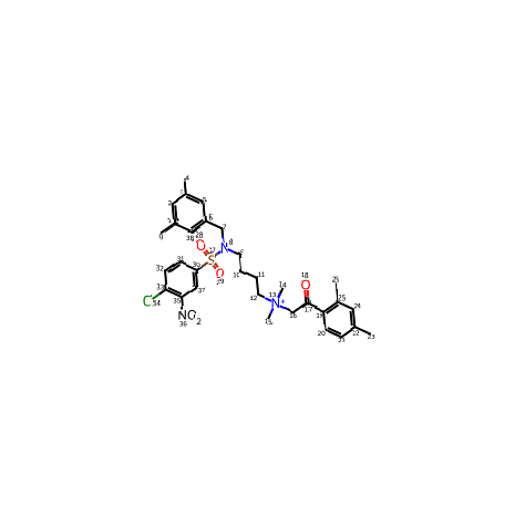 Cc1cc(C)cc(CN(CCCC[N+](C)(C)CC(=O)c2ccc(C)cc2C)S(=O)(=O)c2ccc(Cl)c([N+](=O)[O-])c2)c1